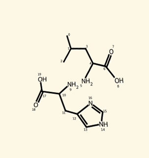 CC(C)CC(N)C(=O)O.NC(Cc1c[nH]cn1)C(=O)O